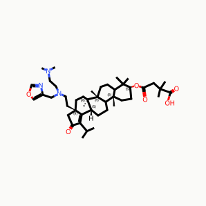 CC(C)C1=C2[C@H]3CCC4[C@@]5(C)CC[C@H](OC(=O)CC(C)(C)C(=O)O)C(C)(C)C5CC[C@@]4(C)[C@]3(C)CC[C@@]2(CCN(CCN(C)C)Cc2cocn2)CC1=O